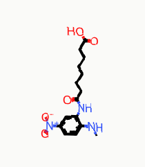 CNc1ccc([N+](=O)[O-])cc1NC(=O)CCCCCCC(=O)O